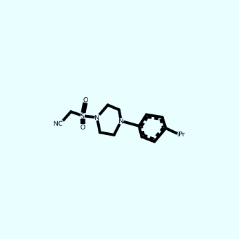 CC(C)c1ccc(N2CCN(S(=O)(=O)CC#N)CC2)cc1